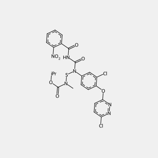 CC(C)OC(=O)N(C)SN(C(=O)NC(=O)c1ccccc1[N+](=O)[O-])c1ccc(Oc2ccc(Cl)nn2)c(Cl)c1